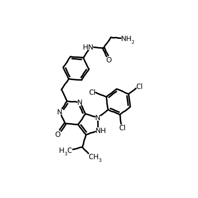 CC(C)c1[nH]n(-c2c(Cl)cc(Cl)cc2Cl)c2nc(Cc3ccc(NC(=O)CN)cc3)nc(=O)c1-2